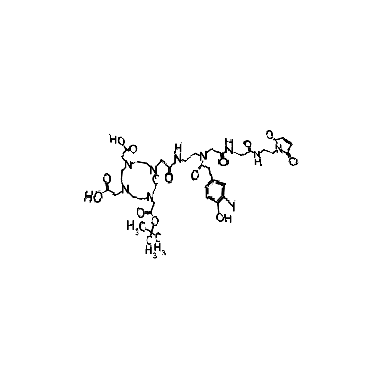 CC(C)(C)OC(=O)CN1CCN(CC(=O)O)CCN(CC(=O)O)CCN(CC(=O)NCCN(CC(=O)NCC(=O)NCCN2C(=O)C=CC2=O)C(=O)Cc2ccc(O)c(I)c2)CC1